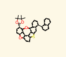 CC1(C)OB(c2ccc3oc4ccc5sc6cc7c(-c8cccc9ccccc89)cccc7c7oc2c3c4c5c67)OC1(C)C